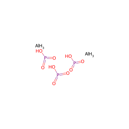 O=P(=O)O.O=P(=O)O.O=P(=O)O.[AlH3].[AlH3]